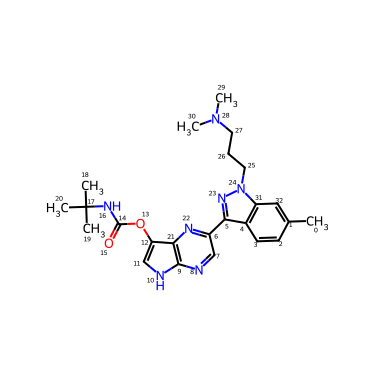 Cc1ccc2c(-c3cnc4[nH]cc(OC(=O)NC(C)(C)C)c4n3)nn(CCCN(C)C)c2c1